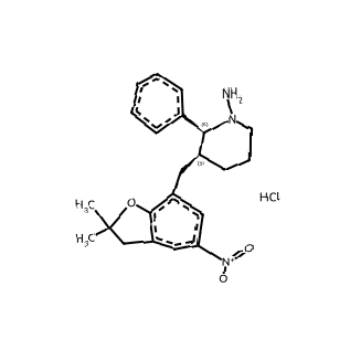 CC1(C)Cc2cc([N+](=O)[O-])cc(C[C@@H]3CCCN(N)[C@@H]3c3ccccc3)c2O1.Cl